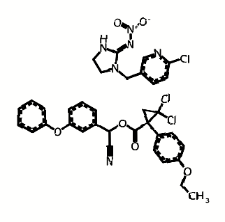 CCOc1ccc(C2(C(=O)OC(C#N)c3cccc(Oc4ccccc4)c3)CC2(Cl)Cl)cc1.O=[N+]([O-])/N=C1\NCCN1Cc1ccc(Cl)nc1